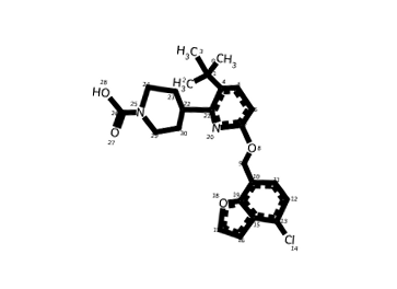 CC(C)(C)c1ccc(OCc2ccc(Cl)c3ccoc23)nc1C1CCN(C(=O)O)CC1